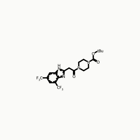 CC(C)(C)OC(=O)N1CCN(C(=O)Cc2nc3c(C(F)(F)F)cc(C(F)(F)F)cc3[nH]2)CC1